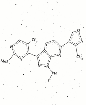 CSc1ncc(C(F)(F)F)c(-c2nn(PI)c3nc(-c4conc4C)ccc23)n1